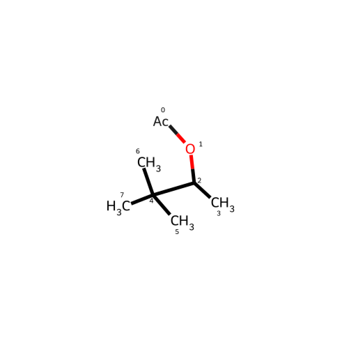 CC(=O)OC(C)C(C)(C)C